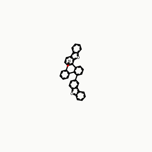 N#Cc1ccccc1-c1c(-c2ccc3oc4ccccc4c3c2)cccc1-c1cccc2c1oc1ccccc12